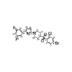 O=S(=O)(c1ccc(Br)cc1Cl)C1CCN(c2nc(-c3cc(F)cc(F)c3)cs2)CC1